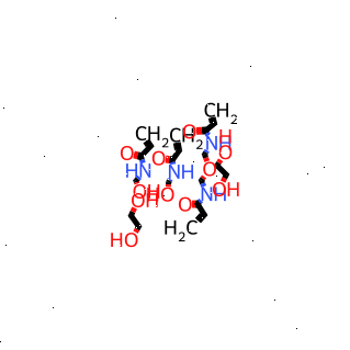 C=CC(=O)NCO.C=CC(=O)NCO.C=CC(=O)NCOCNC(=O)C=C.OCCO.OCCO